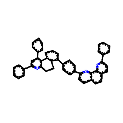 c1ccc(-c2cc(-c3ccccc3)c3c(n2)CCc2c(-c4ccc(-c5ccc6ccc7ccc(-c8ccccc8)nc7c6n5)cc4)cccc2-3)cc1